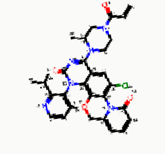 C=CC(=O)N1CCN(c2nc(=O)n(-c3c(C)ccnc3C(C)C)c3c4c(c(Cl)cc23)-n2c(cccc2=O)CO4)[C@@H](C)C1